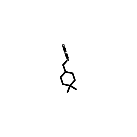 CC1(C)CCC(CN=C=O)CC1